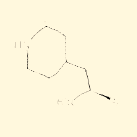 CC(=O)[C@@H](N)CC1CCNCC1